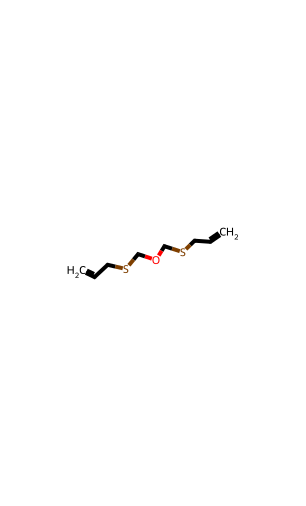 C=CCSCOCSCC=C